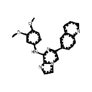 COc1ccc(Nc2nc(-c3ccc4ncccc4c3)cn3ccnc23)cc1OC